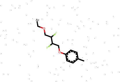 CC(=O)COCC(F)C(F)COc1ccc(C)cc1